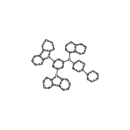 c1ccc(-c2ccc(N(c3cc(-n4c5ccccc5c5ccccc54)cc(-n4c5ccccc5c5ccccc54)c3)c3cccc4ccccc34)cc2)cc1